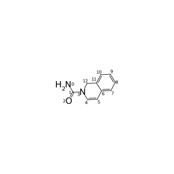 NC(=O)N1C=Cc2ccccc2C1